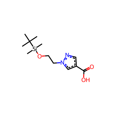 CC(C)(C)[Si](C)(C)OCCn1cc(C(=O)O)cn1